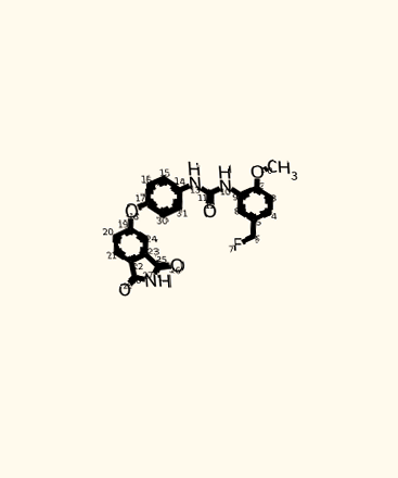 COc1ccc(CF)cc1NC(=O)Nc1ccc(Oc2ccc3c(c2)C(=O)NC3=O)cc1